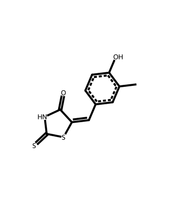 Cc1cc(C=C2SC(=S)NC2=O)ccc1O